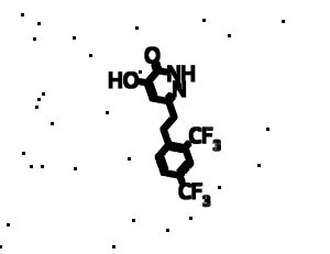 O=c1[nH]nc(CCc2ccc(C(F)(F)F)cc2C(F)(F)F)cc1O